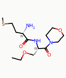 CCOC[C@H](NC(=O)[C@@H](N)CCSC)C(=O)N1CCOCC1